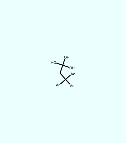 CC(=O)C(CC(O)(O)O)(C(C)=O)C(C)=O